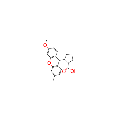 COc1ccc2c(c1)Oc1cc(C)ccc1C2C1CCCC1C(=O)O